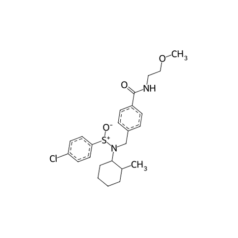 COCCNC(=O)c1ccc(CN(C2CCCCC2C)[S+]([O-])c2ccc(Cl)cc2)cc1